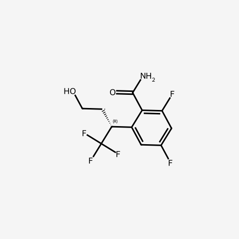 NC(=O)c1c(F)cc(F)cc1[C@@H]([CH]CO)C(F)(F)F